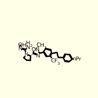 CCCc1ccc(CCc2ccc(C3N=C([C@@H]4CCCN4/C(N)=N/O)ON3C)cc2C(F)(F)F)cc1